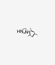 Cc1cc(C)c([N+]2=CNCC2)c(C)c1